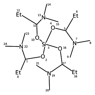 CCC(O[Si](OC(CC)N(C)C)(OC(CC)N(C)C)OC(CC)N(C)C)N(C)C